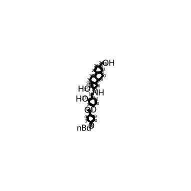 CCCCOc1ccc(C(=O)Oc2ccc(CN[C@@H]3CC4C5CCc6cc(CO)ccc6C5CC[C@]4(C)[C@H]3O)c(O)c2)cc1